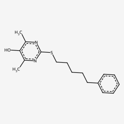 Cc1nc(SCCCCCc2ccccc2)nc(C)c1O